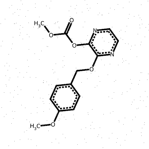 COC(=O)Oc1nccnc1OCc1ccc(OC)cc1